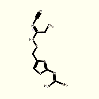 CC/C(=N\C#N)NSCc1csc(N=C(N)N)n1